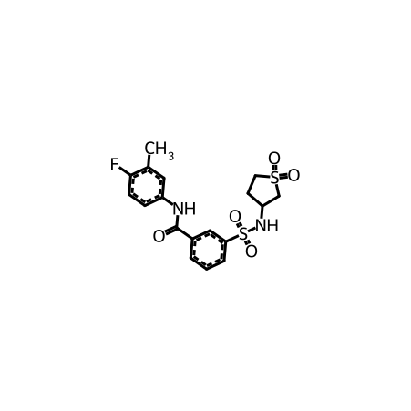 Cc1cc(NC(=O)c2cccc(S(=O)(=O)NC3CCS(=O)(=O)C3)c2)ccc1F